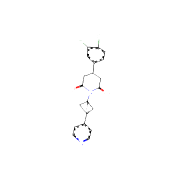 O=C1CC(c2ccc(Cl)c(F)c2)CC(=O)N1C12CC(c3ccncc3)(C1)C2